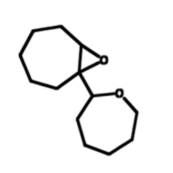 C1CCOC(C23CCCCCC2O3)CC1